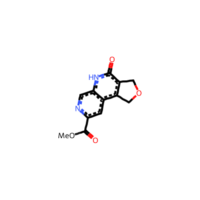 COC(=O)c1cc2c3c(c(=O)[nH]c2cn1)COC3